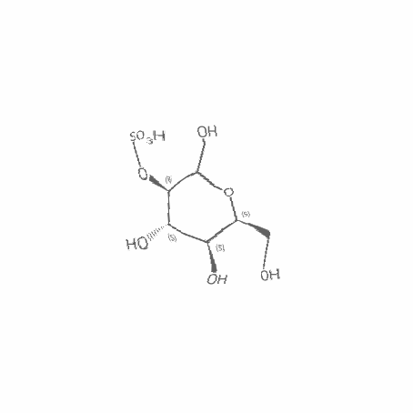 O=S(=O)(O)O[C@H]1C(O)O[C@@H](CO)[C@@H](O)[C@@H]1O